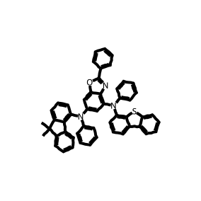 CC1(C)c2ccccc2-c2c(N(c3ccccc3)c3cc(N(c4ccccc4)c4cccc5c4sc4ccccc45)c4nc(-c5ccccc5)oc4c3)cccc21